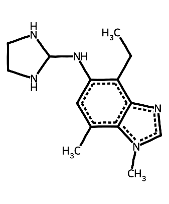 CCc1c(NC2NCCN2)cc(C)c2c1ncn2C